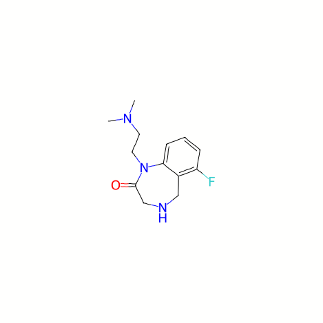 CN(C)CCN1C(=O)CNCc2c(F)cccc21